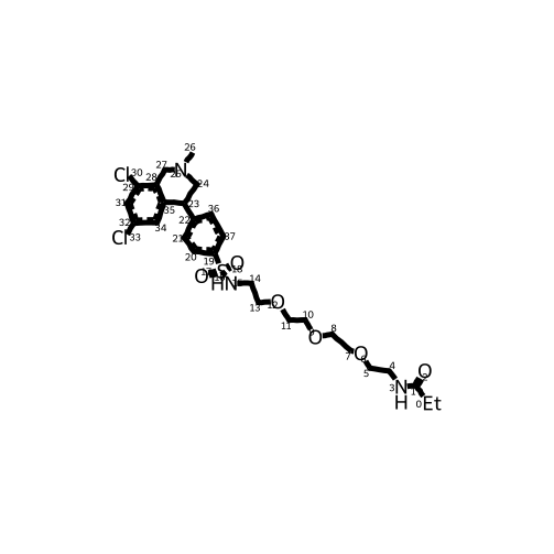 CCC(=O)NCCOCCOCCOCCNS(=O)(=O)c1ccc(C2CN(C)Cc3c(Cl)cc(Cl)cc32)cc1